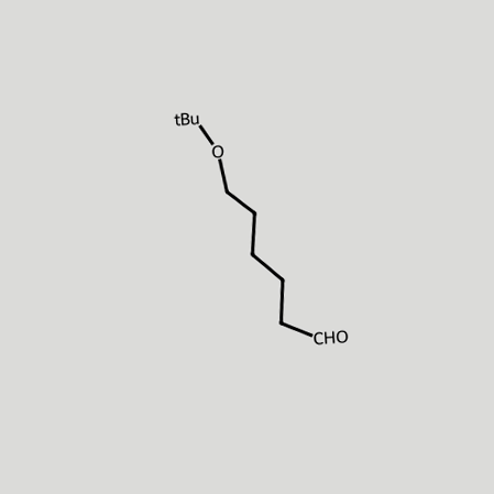 CC(C)(C)OCCCCCC=O